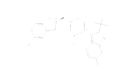 CO[C@@H]1CN(C[C@@H]2Cc3ccc(Br)cc3C2)CC[C@@H]1n1c(C(C)(C)O)nc2cc(C)ccc21